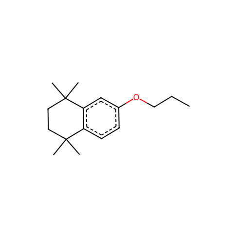 CCCOc1ccc2c(c1)C(C)(C)CCC2(C)C